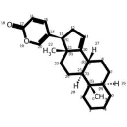 C[C@]12CC[C]C[C@@H]1CC[C@H]1C3=CC[C@H](c4ccc(=O)oc4)[C@@]3(C)CC[C@@H]12